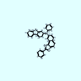 c1ccc(-c2nc3c(ccc4ccc(N(c5ccccc5)c5ccc6c(c5)sc5ccccc56)cc43)o2)cc1